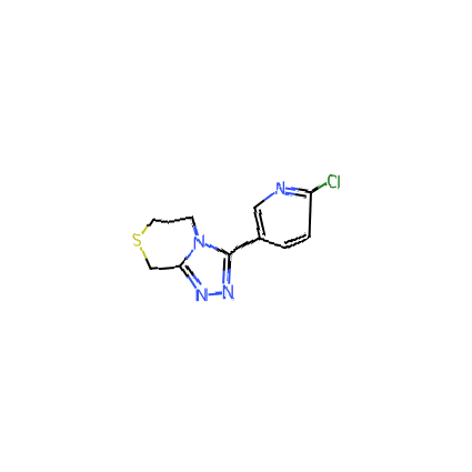 Clc1ccc(-c2nnc3n2CCSC3)cn1